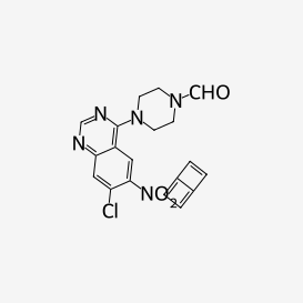 O=CN1CCN(c2ncnc3cc(Cl)c([N+](=O)[O-])cc23)CC1.c1cc2ccc1-2